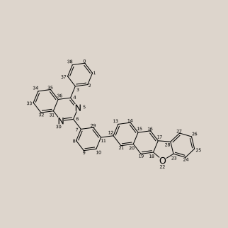 c1ccc(-c2nc(-c3cccc(-c4ccc5cc6c(cc5c4)oc4ccccc46)c3)nc3ccccc23)cc1